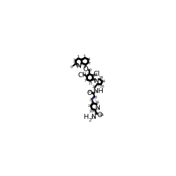 Cc1ccc2cccc(OCc3c(Cl)ccc(-n4cccc4CNC(=O)/C=C/c4ccc(C(N)=O)nc4)c3Cl)c2n1